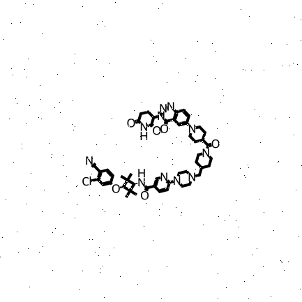 CC1(C)[C@H](NC(=O)c2ccc(N3CCN(CC4CCN(C(=O)C5CCN(c6ccc7nnn(C8CCC(=O)NC8=O)c(=O)c7c6)CC5)CC4)CC3)nc2)C(C)(C)[C@H]1Oc1ccc(C#N)c(Cl)c1